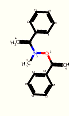 C=C(ON(C)C(=C)c1ccccc1)c1ccccc1